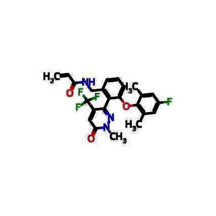 C=CC(=O)NCc1cccc(Oc2c(C)cc(F)cc2C)c1-c1nn(C)c(=O)cc1C(F)(F)F